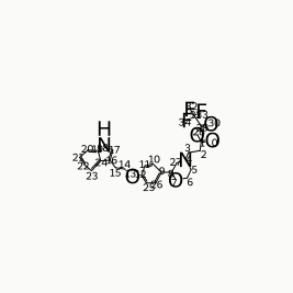 O=C(CCN1CCOC(c2ccc(OCCc3c[nH]c4ccccc34)cc2)C1)OC(=O)C(F)(F)F